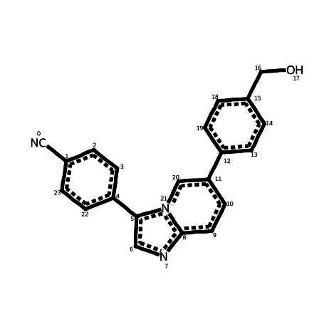 N#Cc1ccc(-c2cnc3ccc(-c4ccc(CO)cc4)cn23)cc1